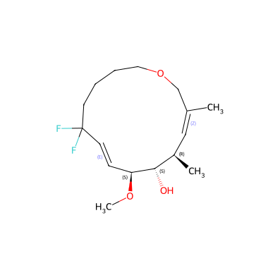 CO[C@H]1/C=C/C(F)(F)CCCCOC/C(C)=C\[C@@H](C)[C@@H]1O